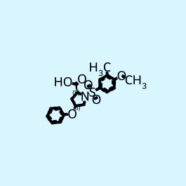 COc1ccc(S(=O)(=O)N2C[C@@H](Oc3ccccc3)C[C@H]2C(=O)O)cc1C